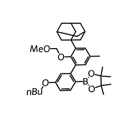 CCCCOc1ccc(B2OC(C)(C)C(C)(C)O2)c(-c2cc(C)cc(C34CC5CC(CC(C5)C3)C4)c2OCOC)c1